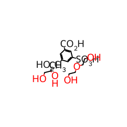 CC(O)CO.O=C(O)c1cc(C(=O)O)cc(S(=O)(=O)O)c1.OCCOCCO